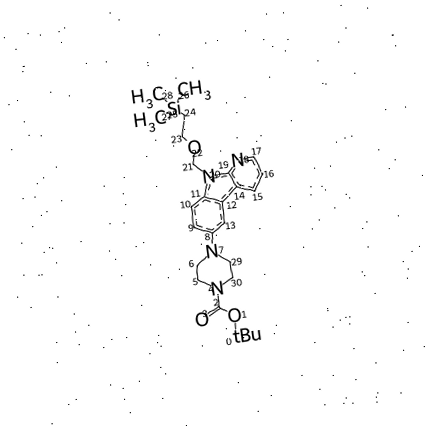 CC(C)(C)OC(=O)N1CCN(c2ccc3c(c2)c2cccnc2n3COCC[Si](C)(C)C)CC1